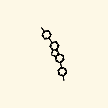 Cc1ccc(-c2ccc3c(c2)sc2cc(-c4ccc(C)cc4)ccc23)cc1